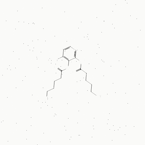 CCCCCCCCCc1cccc(OC(=O)CCCCC(C)C)c1OC(=O)CCCCC(C)C